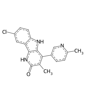 Cc1ccc(-c2c(C)c(=O)[nH]c3c2[nH]c2ccc(Cl)cc23)cn1